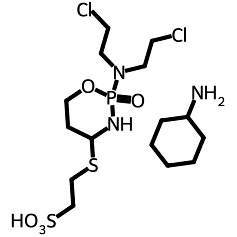 NC1CCCCC1.O=P1(N(CCCl)CCCl)NC(SCCS(=O)(=O)O)CCO1